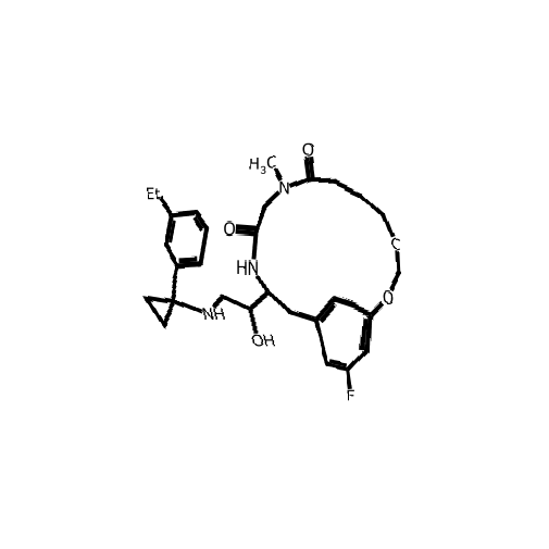 CCc1cccc(C2(NCC(O)C3Cc4cc(F)cc(c4)OCCCCCC(=O)N(C)CC(=O)N3)CC2)c1